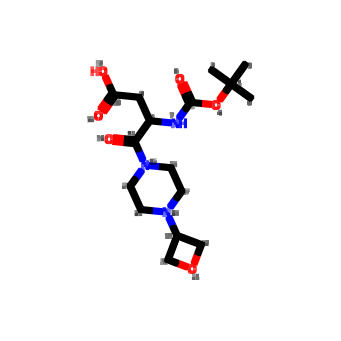 CC(C)(C)OC(=O)NC(CC(=O)O)C(=O)N1CCN(C2COC2)CC1